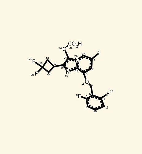 Cc1cc(OCc2c(F)cccc2F)c2nc(C3CC(F)(F)C3)c(OC(=O)O)n2c1